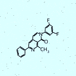 Cc1nc(-c2ccccc2)cc2ccn(-c3cc(F)cc(F)c3)c(=O)c12